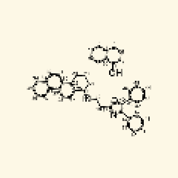 Oc1cccc2ccccc12.c1ccc(-c2nc(CCNC3CCCc4c3ccc3c4ccc4ccccc43)oc2-c2ccccc2)cc1